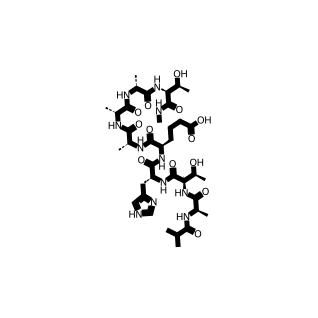 CNC(=O)[C@H](NC(=O)[C@@H](C)NC(=O)[C@@H](C)NC(=O)[C@@H](C)NC(=O)[C@@H](CCCC(=O)O)NC(=O)[C@@H](Cc1c[nH]cn1)NC(=O)[C@H](NC(=O)[C@@H](C)NC(=O)C(C)C)[C@H](C)O)[C@H](C)O